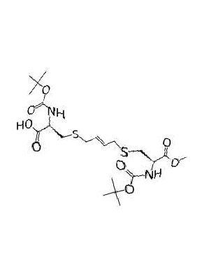 COC(=O)[C@H](CSCC=CCSC[C@H](NC(=O)OC(C)(C)C)C(=O)O)NC(=O)OC(C)(C)C